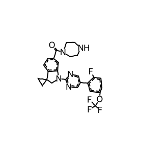 O=C(c1ccc2c(c1)N(c1ncc(-c3cc(OC(F)(F)F)ccc3F)cn1)CC21CC1)N1CCNCC1